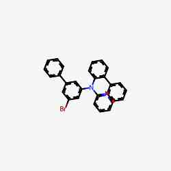 Brc1cc(-c2ccccc2)cc(N(c2ccccn2)c2ccccc2-c2ccccc2)c1